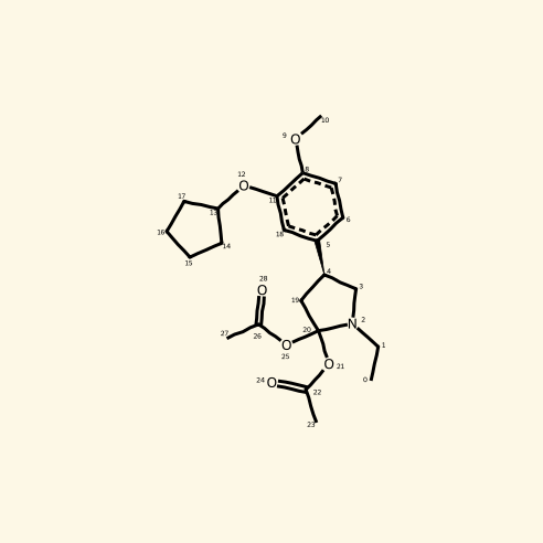 CCN1C[C@H](c2ccc(OC)c(OC3CCCC3)c2)CC1(OC(C)=O)OC(C)=O